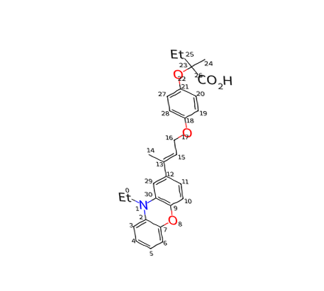 CCN1c2ccccc2Oc2ccc(/C(C)=C/COc3ccc(OC(C)(CC)C(=O)O)cc3)cc21